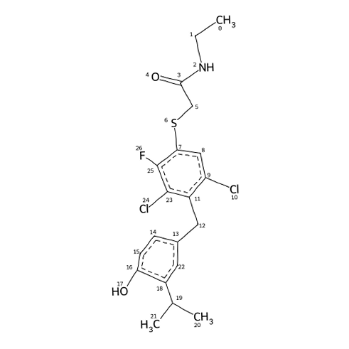 CCNC(=O)CSc1cc(Cl)c(Cc2ccc(O)c(C(C)C)c2)c(Cl)c1F